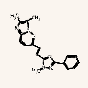 Cc1nc2ccc(C=Cc3nc(-c4ccccc4)nn3C)nn2c1C